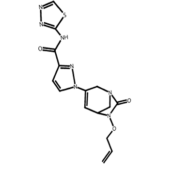 C=CCON1C(=O)N2CC(n3ccc(C(=O)Nc4nncs4)n3)=CC1C2